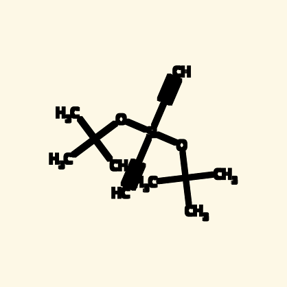 C#C[Si](C#C)(OC(C)(C)C)OC(C)(C)C